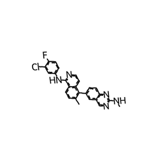 CNc1ncc2cc(-c3c(C)ccc4c(Nc5ccc(F)c(Cl)c5)nccc34)ccc2n1